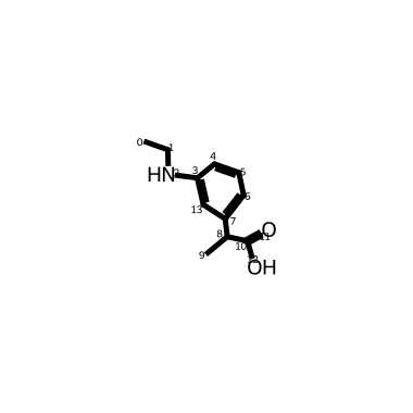 CCNc1cccc(C(C)C(=O)O)c1